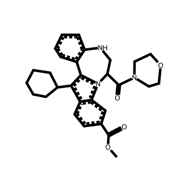 COC(=O)c1ccc2c(C3CCCCC3)c3n(c2c1)C(C(=O)N1CCOCC1)CNc1ccccc1-3